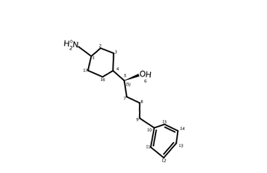 NC1CCC([C@@H](O)CCCc2ccccc2)CC1